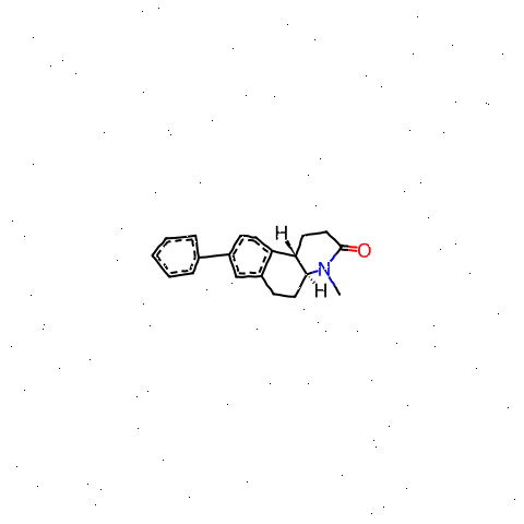 CN1C(=O)CC[C@H]2c3ccc(-c4ccccc4)cc3CC[C@@H]21